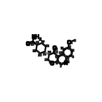 COc1ccc2ncc3c(c2c1)C(=O)C([C@H]1CC[C@H](C(N)=O)CC1)CO3